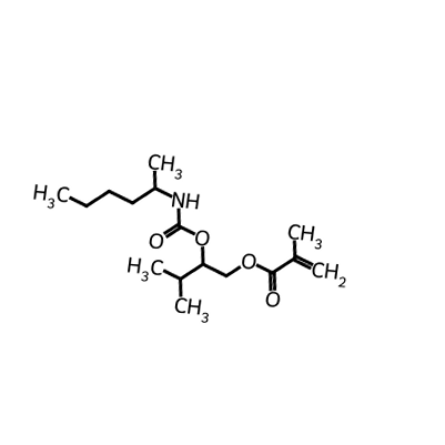 C=C(C)C(=O)OCC(OC(=O)NC(C)CCCC)C(C)C